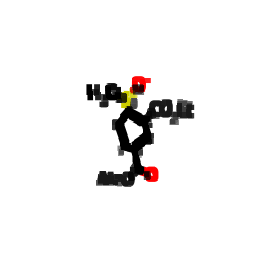 CCOC(=O)c1[c]c(C(=O)OC)ccc1[S+](C)[O-]